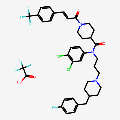 O=C(C=Cc1ccc(C(F)(F)F)cc1)N1CCC(C(=O)N(CCCN2CCC(Cc3ccc(F)cc3)CC2)c2ccc(Cl)c(Cl)c2)CC1.O=C(O)C(F)(F)F